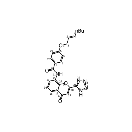 CCCC/C=C/COc1ccc(C(=O)Nc2cccc3c(=O)cc(-c4nnn[nH]4)oc23)cc1